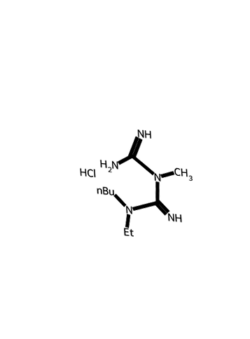 CCCCN(CC)C(=N)N(C)C(=N)N.Cl